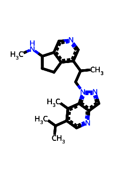 CNC1CCc2c(C(C)Cn3ncc4ncc(C(C)C)c(C)c43)cncc21